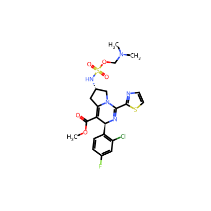 COC(=O)C1=C2C[C@H](NS(=O)(=O)OCN(C)C)CN2C(c2nccs2)=N[C@H]1c1ccc(F)cc1Cl